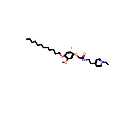 CCCCCCCCCCCCOc1ccc(OCC(=O)NCCc2cc[n+](CC)cc2)cc1OC.[I-]